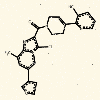 N#Cc1cccnc1C1=CCN(C(=O)c2nc3c(C(F)(F)F)cc(-c4ccoc4)cn3c2Cl)CC1